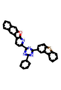 c1ccc(-c2nc(-c3ccc4sc5ccccc5c4c3)nc(-c3ccc4c(n3)oc3cc5ccccc5cc34)n2)cc1